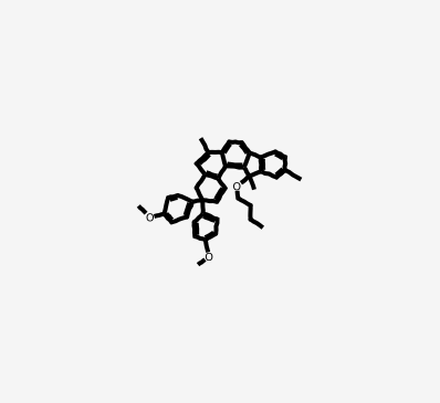 CCCCOC1(C)c2cc(C)ccc2-c2ccc3c(C)cc4c(c3c21)C=CC(c1ccc(OC)cc1)(c1ccc(OC)cc1)C4